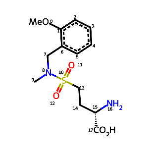 COc1ccccc1CN(C)S(=O)(=O)CC[C@H](N)C(=O)O